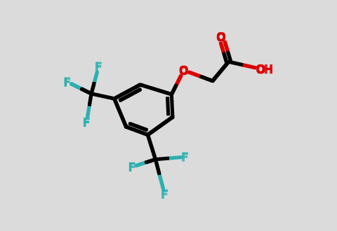 O=C(O)COc1cc(C(F)(F)F)cc(C(F)(F)F)c1